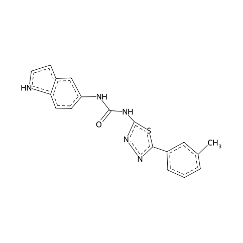 Cc1cccc(-c2nnc(NC(=O)Nc3ccc4[nH]ccc4c3)s2)c1